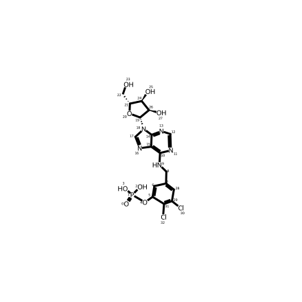 O=P(O)(O)Oc1cc(CNc2ncnc3c2ncn3[C@@H]2O[C@H](CO)[C@@H](O)[C@H]2O)cc(Cl)c1Cl